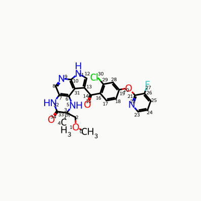 COC[C@]1(C)Nc2c(cnc3[nH]cc(C(=O)c4ccc(Oc5ncccc5F)cc4Cl)c23)NC1=O